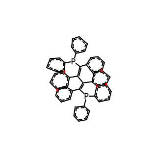 c1ccc(C(C(=C(c2ccccc2)P(c2ccccc2)c2ccccc2)c2ccccc2)=C(c2ccccc2)P(c2ccccc2)c2ccccc2)cc1